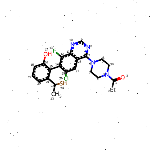 CCC(=O)N1CCN(c2ncnc3c(F)c(-c4c(O)cccc4C(C)S)c(Cl)cc23)CC1